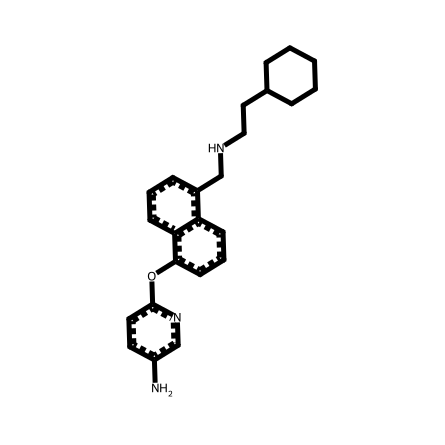 Nc1ccc(Oc2cccc3c(CNCCC4CCCCC4)cccc23)nc1